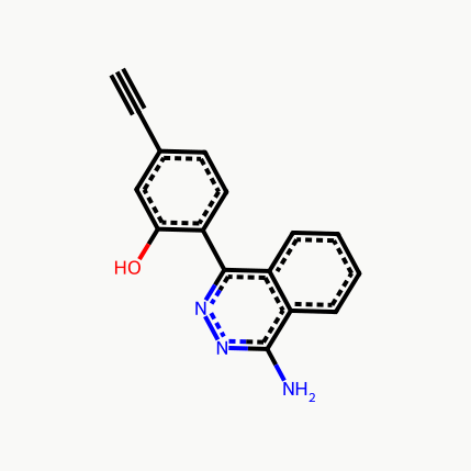 C#Cc1ccc(-c2nnc(N)c3ccccc23)c(O)c1